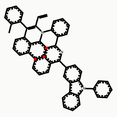 C=CC1=C(c2ccccc2C)c2cccc3cccc(c23)N1c1ccccc1-c1nc(-c2ccc3c(c2)c2ccccc2n3-c2ccccc2)c2ccccc2n1